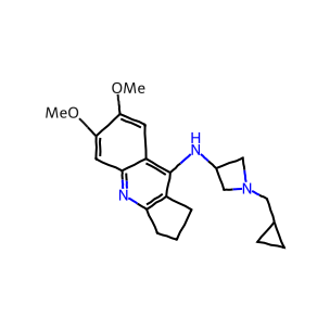 COc1cc2nc3c(c(NC4CN(CC5CC5)C4)c2cc1OC)CCC3